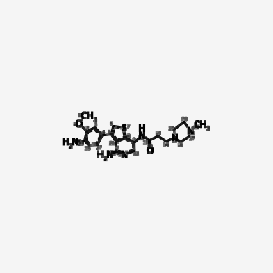 COc1cc(-c2csc3c(NC(=O)CCN4CCN(C)CC4)cnc(N)c23)ccc1N